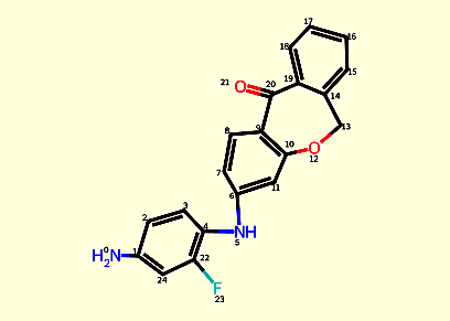 Nc1ccc(Nc2ccc3c(c2)OCc2ccccc2C3=O)c(F)c1